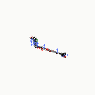 C=CC(=O)Nc1ccccc1Nc1nc(Nc2cccc(NC(=O)CCCC(=O)NCCCOCCOCCOCCCNC(=O)CCCC[C@@H]3SC[C@@H]4NC(=O)N[C@@H]43)c2)ncc1Cl